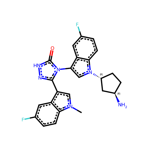 Cn1cc(-c2n[nH]c(=O)n2-c2cn([C@@H]3CC[C@@H](N)C3)c3ccc(F)cc23)c2cc(F)ccc21